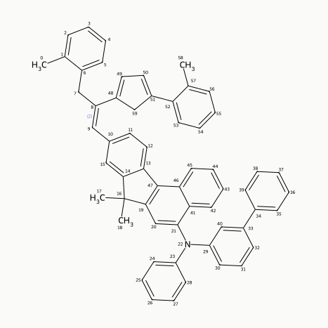 Cc1ccccc1C/C(=C/c1ccc2c(c1)C(C)(C)c1cc(N(c3ccccc3)c3cccc(-c4ccccc4)c3)c3ccccc3c1-2)C1=CC=C(c2ccccc2C)C1